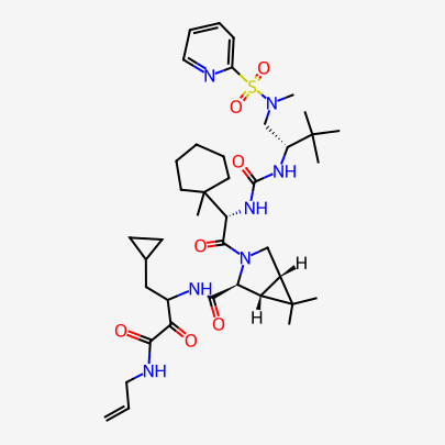 C=CCNC(=O)C(=O)C(CC1CC1)NC(=O)[C@@H]1[C@@H]2[C@H](CN1C(=O)[C@@H](NC(=O)N[C@H](CN(C)S(=O)(=O)c1ccccn1)C(C)(C)C)C1(C)CCCCC1)C2(C)C